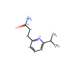 CC(C)c1cccc(CCC(N)=O)n1